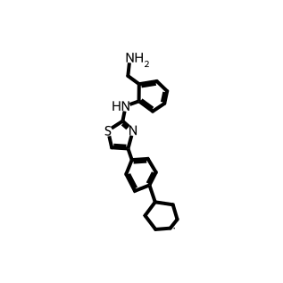 NCc1ccccc1Nc1nc(-c2ccc(C3CC[CH]CC3)cc2)cs1